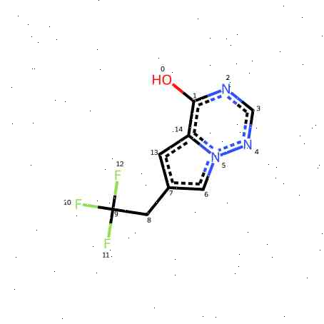 Oc1ncnn2cc(CC(F)(F)F)cc12